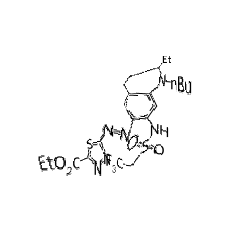 CCCCN1c2cc(NS(=O)(=O)CC(F)(F)F)c(N=Nc3nnc(C(=O)OCC)s3)cc2CCC1CC